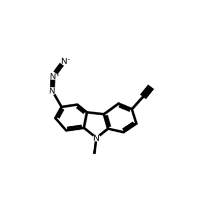 C#Cc1ccc2c(c1)c1cc(N=[N+]=[N-])ccc1n2C